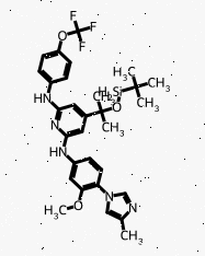 COc1cc(Nc2cc(C(C)(C)O[SiH2]C(C)(C)C)cc(Nc3ccc(OC(F)(F)F)cc3)n2)ccc1-n1cnc(C)c1